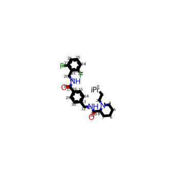 CC(C)CCN1CC[CH]CC1C(=O)NCc1ccc(C(=O)NCc2c(F)cccc2F)cc1